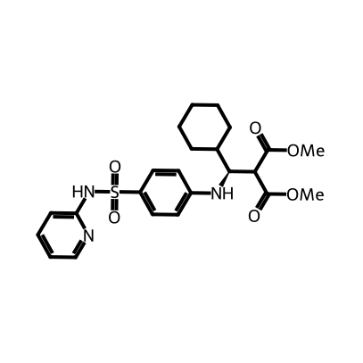 COC(=O)C(C(=O)OC)[C@@H](Nc1ccc(S(=O)(=O)Nc2ccccn2)cc1)C1CCCCC1